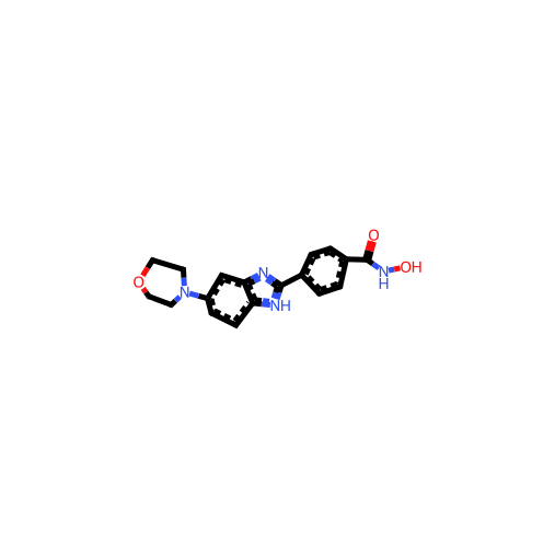 O=C(NO)c1ccc(-c2nc3cc(N4CCOCC4)ccc3[nH]2)cc1